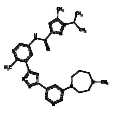 Cc1ncc(NC(=O)c2cc(C)n(C(C)C)n2)cc1-n1cc(-c2cncc(N3CCCN(C)CC3)c2)nn1